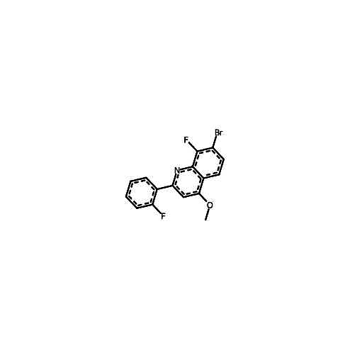 COc1cc(-c2ccccc2F)nc2c(F)c(Br)ccc12